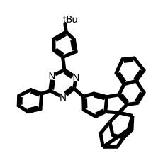 CC(C)(C)c1ccc(-c2nc(-c3ccccc3)nc(-c3ccc4c(c3)-c3c(ccc5ccccc35)C43C4CC5CC(C4)CC3C5)n2)cc1